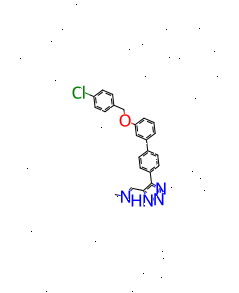 C/N=C/c1[nH]nnc1-c1ccc(-c2cccc(OCc3ccc(Cl)cc3)c2)cc1